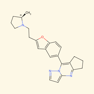 C[C@@H]1CCCN1CCc1cc2cc(-c3c4c(nc5ccnn35)CCC4)ccc2o1